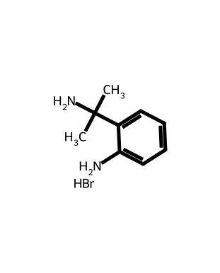 Br.CC(C)(N)c1ccccc1N